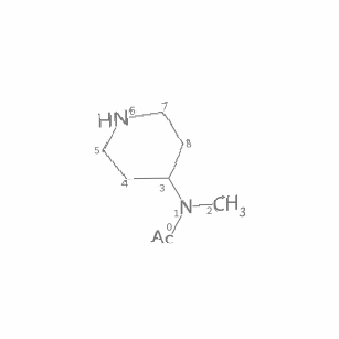 [CH2]C(=O)N(C)C1CCNCC1